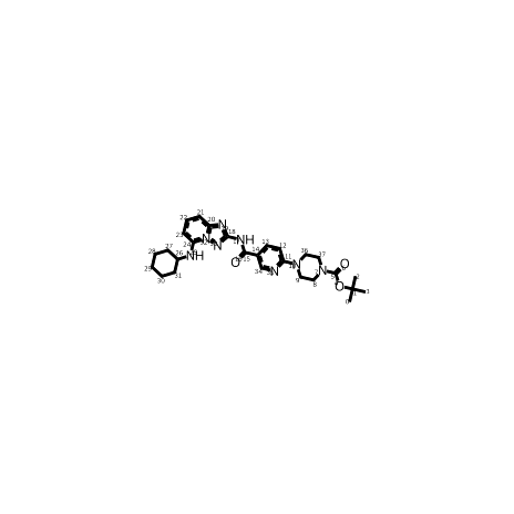 CC(C)(C)OC(=O)N1CCN(c2ccc(C(=O)Nc3nc4cccc(NC5CCCCC5)n4n3)cn2)CC1